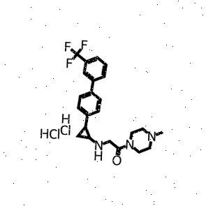 CN1CCN(C(=O)CNC2CC2c2ccc(-c3cccc(C(F)(F)F)c3)cc2)CC1.Cl.Cl